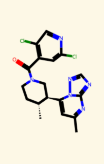 Cc1cc([C@@H]2CN(C(=O)c3cc(Cl)ncc3Cl)CC[C@H]2C)n2ncnc2n1